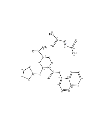 CC(=O)N1CCN(C(=O)Cc2cccc3ccccc23)C(CN2CCCC2)C1.O=C(O)/C=C/C(=O)O